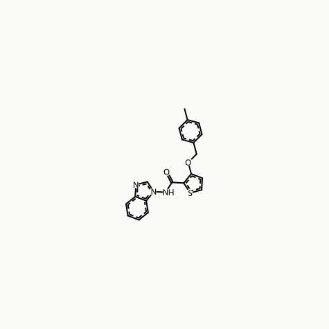 Cc1ccc(COc2ccsc2C(=O)Nn2cnc3ccccc32)cc1